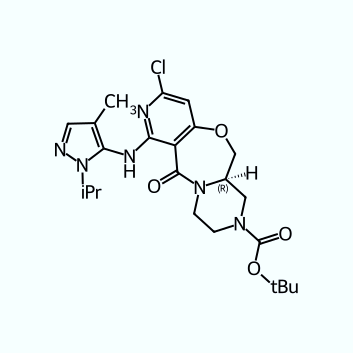 Cc1cnn(C(C)C)c1Nc1nc(Cl)cc2c1C(=O)N1CCN(C(=O)OC(C)(C)C)C[C@@H]1CO2